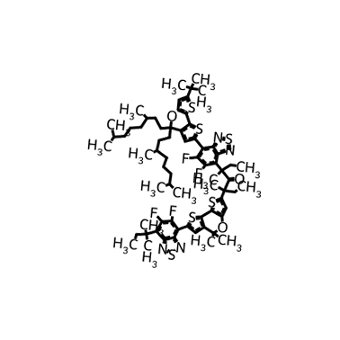 CCC(C)(C)c1c(F)c(F)c(-c2cc3c(s2)-c2sc(C(C)(CC)C(=O)C(C)(CC)c4c(F)c(F)c(-c5cc6c(s5)-c5sc(C(C)(C)C)cc5OC6(CCC(C)CCCC(C)C)CCC(C)CCCC(C)C)c5nsnc45)cc2OC3(C)C)c2nsnc12